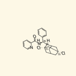 O=C(N[C@@H](c1ccccc1)[C@H]1C2CC3C[C@](Cl)(C2)C[C@@]1(Cl)C3)c1ccccn1